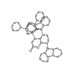 O=c1cc(-c2nc(-c3ccccc3)nc(-c3ccccc3)n2)c2c(-n3c4ccccc4c4ccccc43)ccc(-n3c4ccccc4c4ccccc43)c2o1